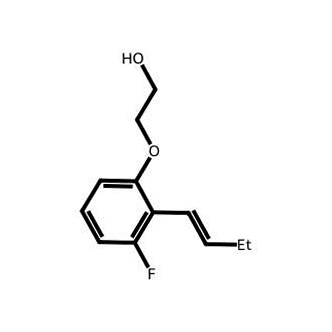 CC/C=C/c1c(F)cccc1OCCO